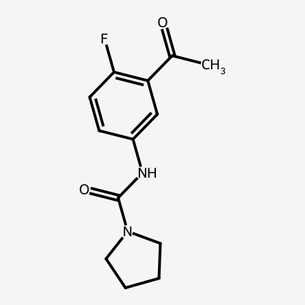 CC(=O)c1cc(NC(=O)N2CCCC2)ccc1F